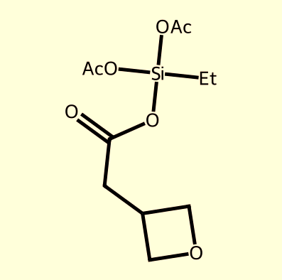 CC[Si](OC(C)=O)(OC(C)=O)OC(=O)CC1COC1